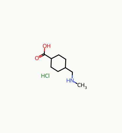 CNCC1CCC(C(=O)O)CC1.Cl